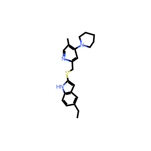 CCc1ccc2[nH]c(SCc3cc(N4CCCCC4)c(C)cn3)cc2c1